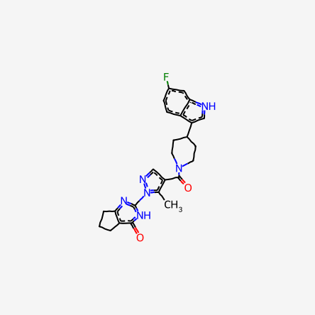 Cc1c(C(=O)N2CCC(c3c[nH]c4cc(F)ccc34)CC2)cnn1-c1nc2c(c(=O)[nH]1)CCC2